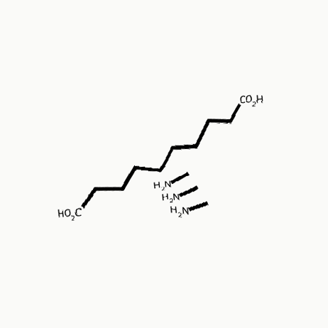 CN.CN.CN.O=C(O)CCCCCCCCC(=O)O